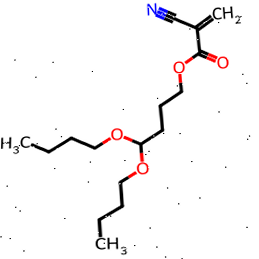 C=C(C#N)C(=O)OCCCC(OCCCC)OCCCC